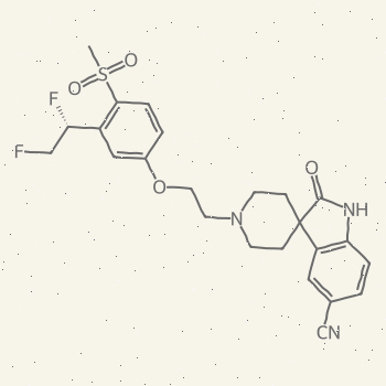 CS(=O)(=O)c1ccc(OCCN2CCC3(CC2)C(=O)Nc2ccc(C#N)cc23)cc1[C@@H](F)CF